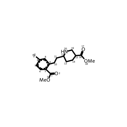 COC(=O)c1ccc(F)cc1CCC1CCC(C(=O)OC)CN1